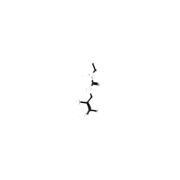 CCNC(=O)OC/C(I)=C(/Br)I